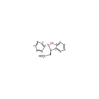 O=C(O)C[C@@H]1c2ccccc2O[C@H]1c1ccccc1